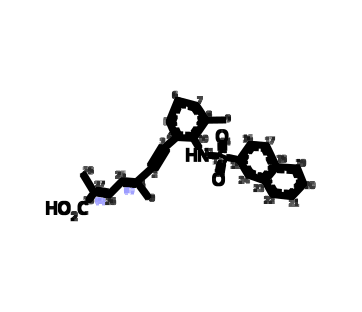 C/C(C#Cc1cccc(C)c1NS(=O)(=O)c1ccc2ccccc2c1)=C\C=C(/C)C(=O)O